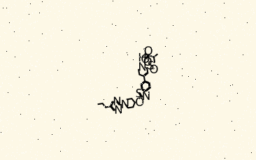 CCCc1cnc(N2CCC(Oc3nc4ccc(C5=CC(S(=O)(=O)CC(C)C(=O)OC)NCC5)cc4s3)CC2)nc1